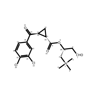 C[N+](C)(C)C[C@@H](CC=O)OC(=O)[C@H]1C[C@@H]1C(=O)c1ccc(Cl)c(Cl)c1